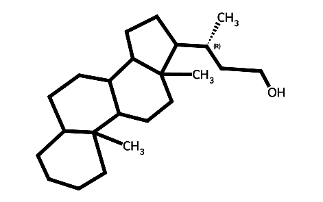 C[C@H](CCO)C1CCC2C3CCC4CCCCC4(C)C3CCC21C